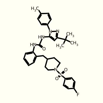 Cc1ccc(-n2nc(C(C)(C)C)cc2NC(=O)Nc2ccccc2CC2CCN(S(=O)(=O)c3ccc(F)cc3)CC2)cc1